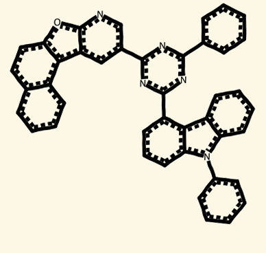 c1ccc(-c2nc(-c3cnc4oc5ccc6ccccc6c5c4c3)nc(-c3cccc4c3c3ccccc3n4-c3ccccc3)n2)cc1